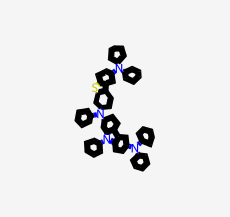 C1=CC(N(c2ccccc2)c2ccc3c4cc(N(c5ccccc5)c5ccccc5)ccc4n(-c4ccccc4)c3c2)Cc2sc3ccc(N(c4ccccc4)c4ccccc4)cc3c21